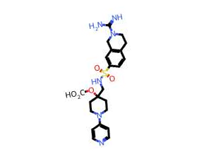 N=C(N)N1CCc2ccc(S(=O)(=O)NCC3(OC(=O)O)CCN(c4ccncc4)CC3)cc2C1